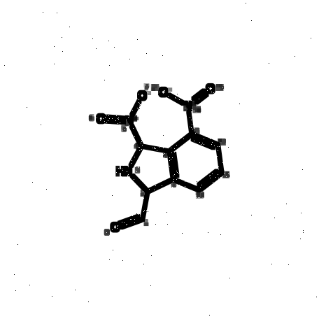 O=CC1NC([N+](=O)[O-])c2c1cccc2[N+](=O)[O-]